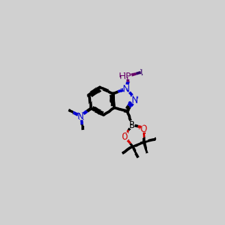 CN(C)c1ccc2c(c1)c(B1OC(C)(C)C(C)(C)O1)nn2PI